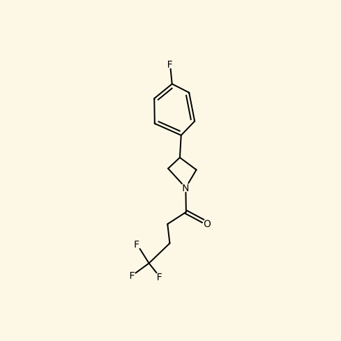 O=C(CCC(F)(F)F)N1CC(c2ccc(F)cc2)C1